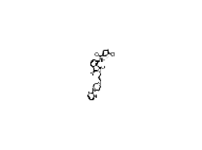 O=C(Nc1cccc2c1C(=O)N(CCCN1CCN(c3ncccn3)CC1)C2=O)c1ccc(Cl)s1